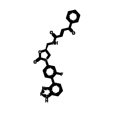 O=C(/C=C/C(=O)c1ccccc1)NC[C@H]1CN(c2ccc(-c3cccc4[nH]nnc34)c(F)c2)C(=O)O1